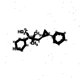 CC(C)(C[C@H]1C[C@@H]1c1ccccc1)N(C(=O)O)C1CCNCC1